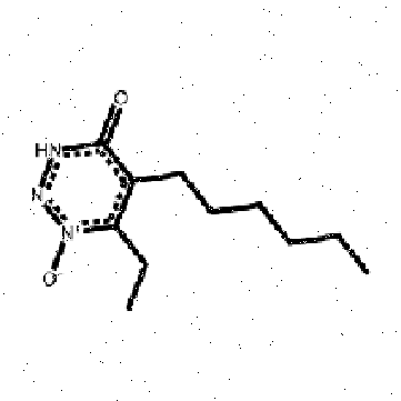 CCCCCCc1c(CC)[n+]([O-])n[nH]c1=O